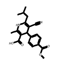 COC(=O)c1ccc(C2C(C#N)=C(CC(C)C)NC(C)=C2C(=O)O)cc1